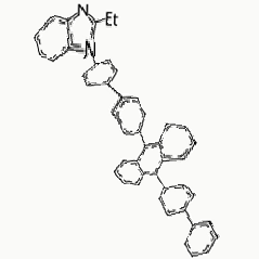 CCc1nc2ccccc2n1-c1ccc(-c2ccc(-c3c4ccccc4c(-c4ccc(-c5ccccc5)cc4)c4ccccc34)cc2)cc1